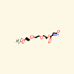 COCCOCCOCCOC(=O)C1CC(=O)N1